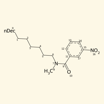 CCCCCCCCCCCCCCCCN(C)C(=O)c1cc[c]c([N+](=O)[O-])c1